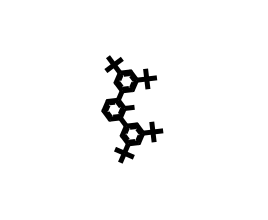 Cc1c(-c2cc(C(C)(C)C)cc(C(C)(C)C)c2)cccc1-c1cc(C(C)(C)C)cc(C(C)(C)C)c1